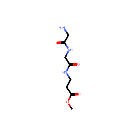 COC(=O)CCNC(=O)CNC(=O)CN